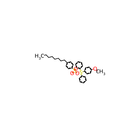 CCCCCCCCc1ccc(S(=O)(=O)OS(c2ccccc2)(c2ccccc2)c2ccc(OC)cc2)cc1